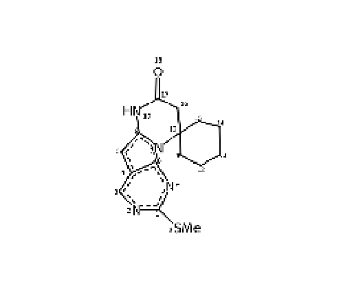 CSc1ncc2cc3n(c2n1)C1(CCCCC1)CC(=O)N3